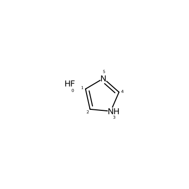 F.c1c[nH]cn1